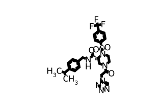 CC(C)c1ccc(CNC(=O)[C@H]2CN(C(=O)Cn3cnnn3)CCN2S(=O)(=O)c2ccc(C(F)(F)F)cc2)cc1